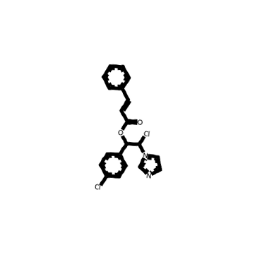 O=C(C=Cc1ccccc1)OC(c1ccc(Cl)cc1)C(Cl)n1ccnc1